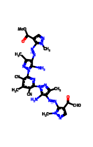 [C-]#[N+]c1c(-n2nc(C)c(/N=N/c3c(C(=O)OC)cnn3C)c2N)nc(-n2nc(C)c(/N=N/c3c(C(=O)C=O)cnn3C)c2N)c(C#N)c1C